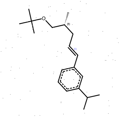 CC(C)c1cccc(/C=C/C[C@@H](C)COC(C)(C)C)c1